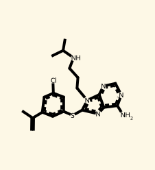 C=C(C)c1cc(Cl)cc(Sc2nc3c(N)ncnc3n2CCCNC(C)C)c1